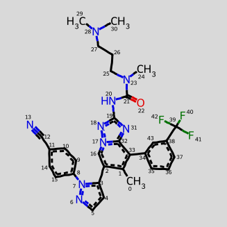 Cc1c(-c2ccnn2-c2ccc(C#N)cc2)cn2nc(NC(=O)N(C)CCCN(C)C)nc2c1-c1cccc(C(F)(F)F)c1